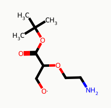 CC(C)(C)OC(=O)C(C[O])OCCN